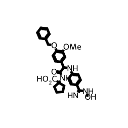 COc1cc(C(Nc2ccc(C(=N)NO)cc2)C(=O)NC2(C(=O)O)CCCC2)ccc1OCc1ccccc1